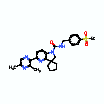 CCS(=O)(=O)c1ccc(CNC(=O)N2CC3(CCCC3)c3nc(-c4ncc(C)nc4C)ccc32)cc1